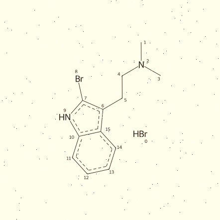 Br.CN(C)CCc1c(Br)[nH]c2ccccc12